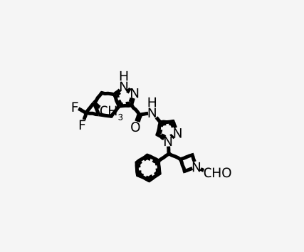 CC12Cc3[nH]nc(C(=O)Nc4cnn(C(c5ccccc5)C5CN(C=O)C5)c4)c3CC1C2(F)F